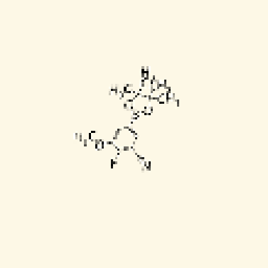 COc1cc(B2OC(C)(C)C(C)(C)O2)cc(C#N)c1F